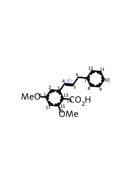 COc1cc(/C=C/Cc2ccccc2)c(C(=O)O)c(OC)c1